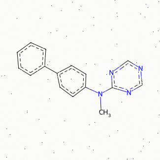 CN(c1ccc(-c2ccccc2)cc1)c1ncncn1